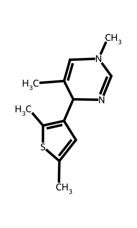 CC1=CN(C)C=NC1c1cc(C)sc1C